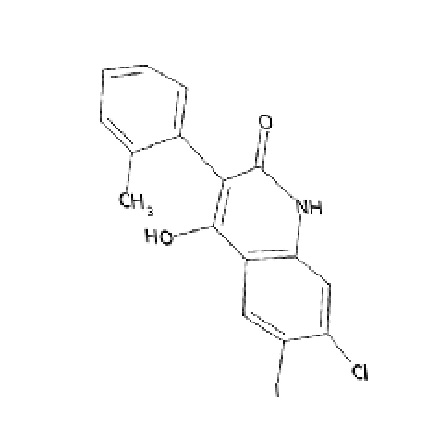 Cc1ccccc1-c1c(O)c2cc(I)c(Cl)cc2[nH]c1=O